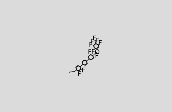 CCCc1ccc(-c2ccc(-c3ccc(C(F)(F)Oc4cc(F)c(C(F)(F)F)c(F)c4)c(F)c3)cc2)c(F)c1F